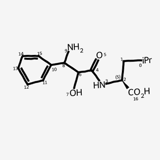 CC(C)C[C@H](NC(=O)C(O)C(N)c1ccccc1)C(=O)O